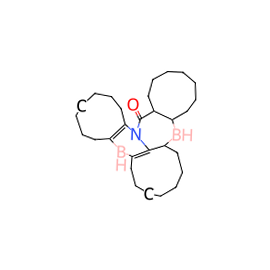 O=C1C2CCCCCCCC2BC2CCCCCCCC3=C2N1C1=C(B3)CCCCCCC1